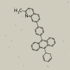 Cc1ccc2ccc(-c3ccc(-c4c5ccccc5c(C5C=CC=CC5)c5ccccc45)cc3)cc2n1